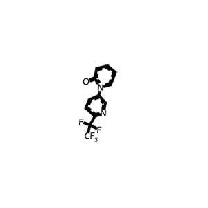 O=c1ccccn1-c1ccc(C(F)(F)C(F)(F)F)nc1